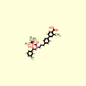 Cc1cc(-c2ccc(CCCN(C[C@H](O)c3cccc(Cl)c3)C(=O)OC(C)(C)C)cc2)ccc1C(=O)O